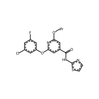 CC(C)Oc1cc(C(=O)Nc2nccs2)cc(Oc2cc(F)cc(Cl)c2)n1